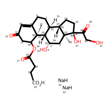 C[C@]12C[C@H](O)[C@H]3[C@@H](CCC4=CC(=O)CC(OC(=O)CCC(=O)O)[C@@]43C)[C@@H]1CC[C@]2(O)C(=O)CO.[NaH].[NaH]